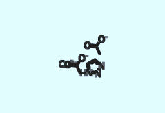 CC(=O)[O-].CC(=O)[O-].[Cu+2].c1c[nH]nn1